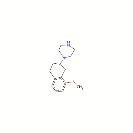 CSc1cccc2c1CC(N1CCNCC1)CC2